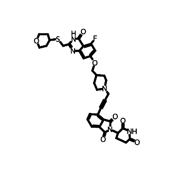 O=C1CCC(N2C(=O)c3cccc(C#CCN4CCC(COc5cc(F)c6c(=O)[nH]c(CSC7CCOCC7)nc6c5)CC4)c3C2=O)C(=O)N1